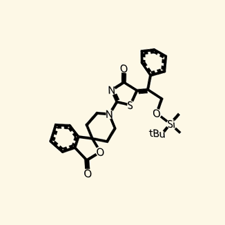 CC(C)(C)[Si](C)(C)OC/C(=C1\SC(N2CCC3(CC2)OC(=O)c2ccccc23)=NC1=O)c1ccccc1